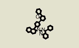 c1ccc(-c2nc(-n3c4cc(-c5cccc6c5oc5ccccc56)ccc4c4c5ccccc5ccc43)nc3ccccc23)cc1